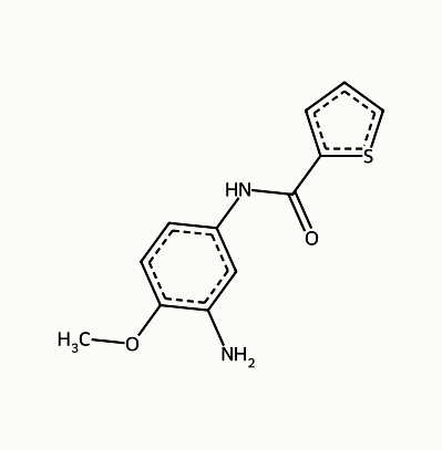 COc1ccc(NC(=O)c2cccs2)cc1N